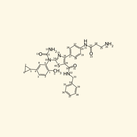 Cc1ccc(C2CC2)cc1N(C(N)=O)c1nc(-c2ccc(NC(=O)CCN)cc2)c(C(=O)NCc2ccccc2)s1